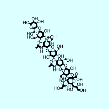 CC(=O)N[C@H]1[C@H](O[C@H]2[C@@H](O)[C@@H](CO)O[C@@H](O[C@H]3[C@@H](O)[C@@H](CO)O[C@@H](O[C@@H]4[C@H](O)[C@@H](O)[C@H](O[C@H]5[C@H](O)[C@@H](O)[C@H](O)O[C@@H]5CO)O[C@@H]4CO)[C@@H]3NC(C)=O)[C@@H]2O)O[C@H](CO)[C@@H](O[C@@H]2O[C@H](CO)[C@H](O)[C@H](O[C@]3(C(=O)O)C[C@H](O)[C@@H](NC(=O)CO)[C@H]([C@H](O)[C@H](O)CO)O3)[C@H]2O)[C@@H]1O